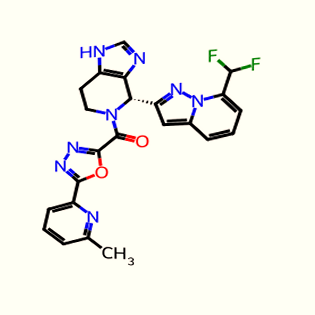 Cc1cccc(-c2nnc(C(=O)N3CCc4[nH]cnc4[C@@H]3c3cc4cccc(C(F)F)n4n3)o2)n1